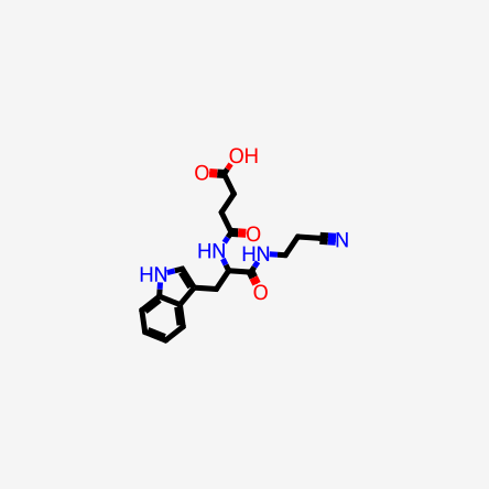 N#CCCNC(=O)C(Cc1c[nH]c2ccccc12)NC(=O)CCC(=O)O